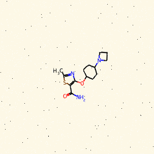 Cc1nc(OC2CCC(N3CCC3)CC2)c(C(N)=O)s1